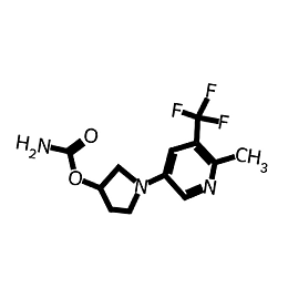 Cc1ncc(N2CCC(OC(N)=O)C2)cc1C(F)(F)F